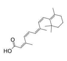 CC1=C(\C=C/C(C)=C\C=C/C(C)=C\C(=O)O)C(C)(C)CCC1